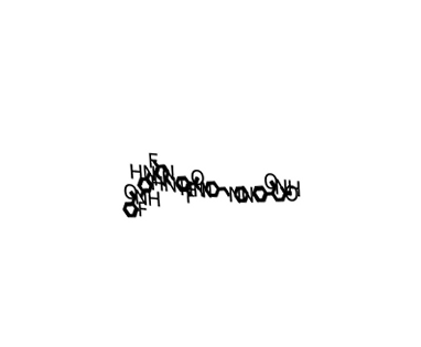 O=C1CCC(c2ccc(N3CCN(CCC4CCN(NC(=O)c5ccc(Nc6ncc(F)c(Nc7ccc(NC(=O)c8ccccc8F)cc7)n6)cc5F)CC4)CC3)cc2)C(=O)N1